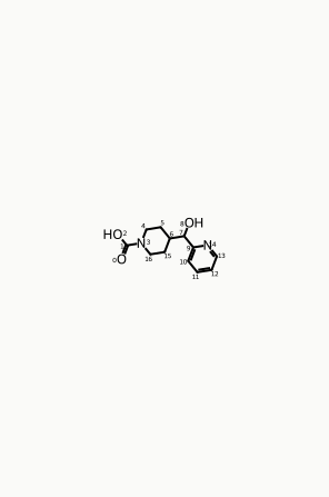 O=C(O)N1CCC(C(O)c2ccccn2)CC1